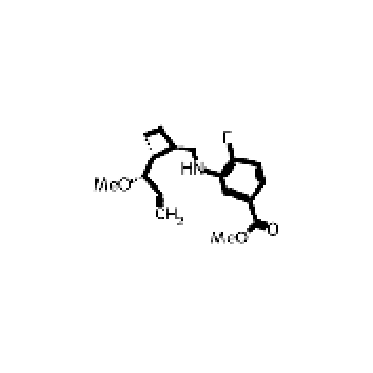 C=C[C@H](OC)[C@@H]1CC[C@H]1CNc1cc(C(=O)OC)ccc1F